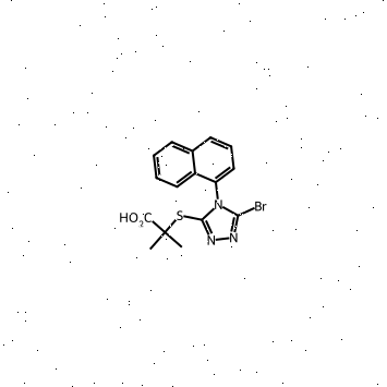 CC(C)(Sc1nnc(Br)n1-c1cccc2ccccc12)C(=O)O